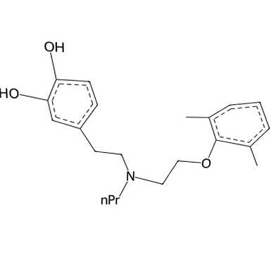 CCCN(CCOc1c(C)cccc1C)CCc1ccc(O)c(O)c1